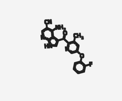 Cc1cc(Oc2ccccc2F)cnc1C(=O)c1c[nH]c2ncc(C#N)c(N)c12